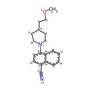 COCCC1CCN(c2ccc(C#N)c3ccccc23)CC1